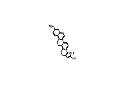 CC(C)c1cc2c([nH]1)-c1ccc3c(c1CC2)CCc1c-3ccc2cc(C(C)(C)C)ccc12